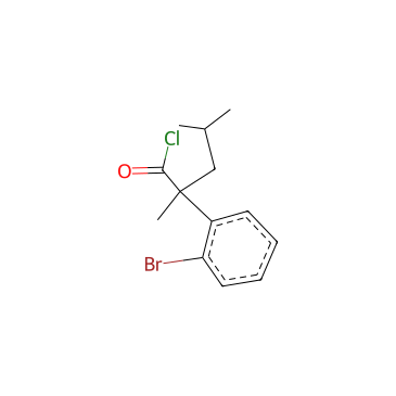 CC(C)CC(C)(C(=O)Cl)c1ccccc1Br